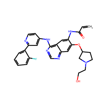 C=CC(=O)Nc1cc2c(Nc3ccnc(-c4ccccc4F)c3)ncnc2cc1OC1CCN(CCO)C1